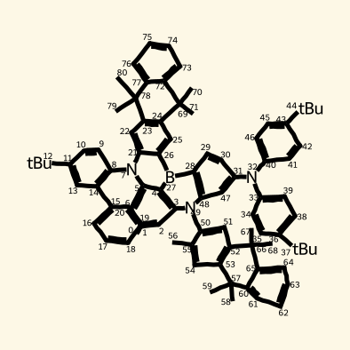 Cc1cc2c3c(c1)N(c1ccc(C(C)(C)C)cc1-c1ccccc1)c1cc4c(cc1B3c1ccc(N(c3ccc(C(C)(C)C)cc3)c3ccc(C(C)(C)C)cc3)cc1N2c1cc2c(cc1C)C(C)(C)c1ccccc1C2(C)C)C(C)(C)c1ccccc1C4(C)C